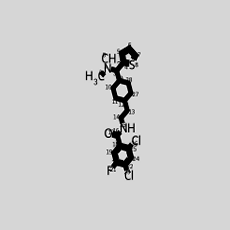 CN(C)C(c1cccs1)C1CCC(CCNC(=O)c2cc(F)c(Cl)cc2Cl)CC1